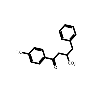 O=C(CC(Cc1ccccc1)C(=O)O)c1ccc(C(F)(F)F)cc1